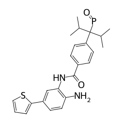 CC(C)C(P=O)(c1ccc(C(=O)Nc2cc(-c3cccs3)ccc2N)cc1)C(C)C